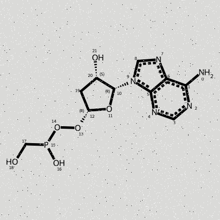 Nc1ncnc2c1ncn2[C@@H]1O[C@H](OOP(O)CO)C[C@@H]1O